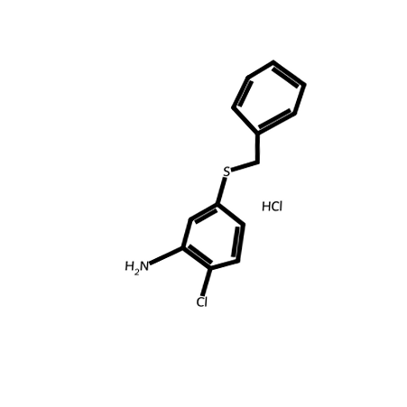 Cl.Nc1cc(SCc2ccccc2)ccc1Cl